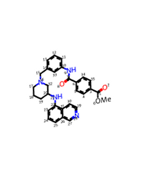 COC(=O)c1ccc(C(=O)Nc2cccc(CN3CCCC(Nc4cccc5cnccc45)C3)c2)cc1